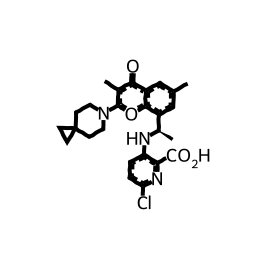 Cc1cc([C@@H](C)Nc2ccc(Cl)nc2C(=O)O)c2oc(N3CCC4(CC3)CC4)c(C)c(=O)c2c1